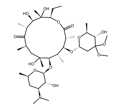 CC[C@H]1OC(=O)[C@H](C)[C@@H](O[C@H]2CC(OC)(OC)[C@@H](O)[C@H](C)O2)[C@H](C)[C@@H](O[C@@H]2O[C@H](C)C[C@H](N(C)C)[C@H]2O)[C@](C)(O)C[C@@H](C)C(=O)[C@H](C)[C@@H](O)[C@]1(C)O